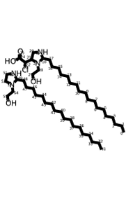 CCCCCCCCCCCCCCCCCCC1NCC(C(Cl)C(=O)O)N1CCO.CCCCCCCCCCCCCCCCCCC1NCCN1CCO